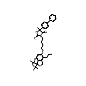 CCCc1c(OCCCCN2C(=O)NC(C)(c3ccc(-c4ccccc4)cc3)C2=O)ccc2c1COC2(C(F)(F)F)C(F)(F)F